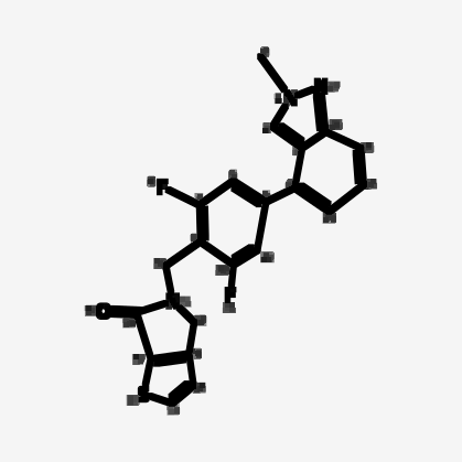 Cn1cc2c(-c3cc(F)c(CN4Cc5ccsc5C4=O)c(F)c3)cccc2n1